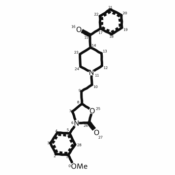 COc1cccc(N2CC(CCN3CCC(C(=O)c4ccccc4)CC3)OC2=O)c1